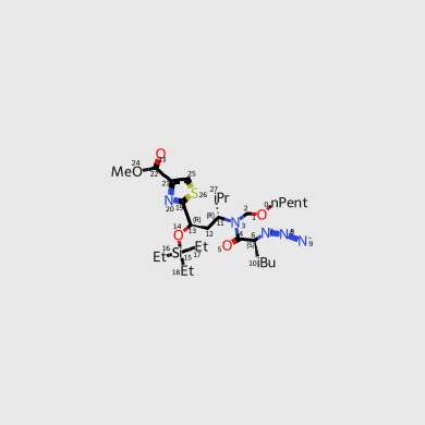 CCCCCOCN(C(=O)[C@@H](N=[N+]=[N-])C(C)CC)[C@H](C[C@@H](O[Si](CC)(CC)CC)c1nc(C(=O)OC)cs1)C(C)C